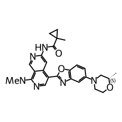 CNc1ncc(-c2nc3cc(N4CCO[C@@H](C)C4)ccc3o2)c2cc(NC(=O)C3(C)CC3)ncc12